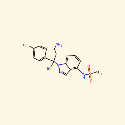 CCC(CCN)(c1ccc(C(F)(F)F)cc1)n1ncc2c(NS(C)(=O)=O)cccc21